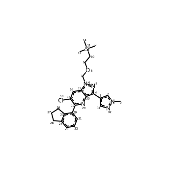 Cn1cc(-c2nn(COCC[Si](C)(C)C)c3cc(Cl)c(-c4cccc5c4CCC5)nc23)cn1